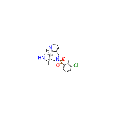 Cc1c(Cl)cccc1S(=O)(=O)N1Cc2cccnc2[C@@H]2CNC[C@H]2C1